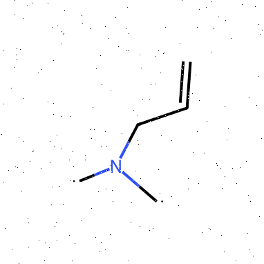 [CH2]N([CH2])CC=C